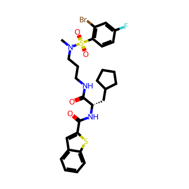 CN(CCCNC(=O)[C@H](CC1CCCC1)NC(=O)c1cc2ccccc2s1)S(=O)(=O)c1ccc(F)cc1Br